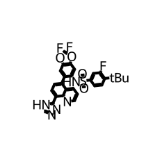 CC(C)(C)c1ccc(S(=O)(=O)Nc2cc3c(cc2-c2ccc(-c4nnc[nH]4)c4ncccc24)OC(F)(F)O3)cc1F